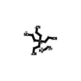 N#CC[CH2][Ni]([CH2]CC#N)([CH2]CC#N)[CH2]CC#N.PP